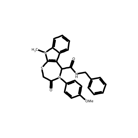 COc1ccc(N2C(=O)CSc3c(c4ccccc4n3C)C2C(=O)NCc2ccccc2)cc1